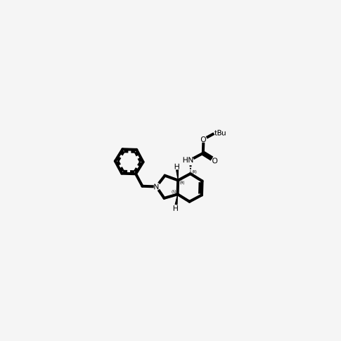 CC(C)(C)OC(=O)N[C@@H]1C=CC[C@@H]2CN(Cc3ccccc3)C[C@@H]21